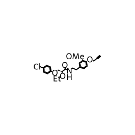 C#CCOc1ccc(CCNC(=O)[C@H](COc2ccc(Cl)cc2)OCC)cc1OC